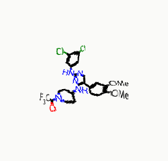 COc1ccc(-c2cnc(Nc3cc(Cl)cc(Cl)c3)nc2NC2CCN(C(=O)C(F)(F)F)CC2)cc1OC